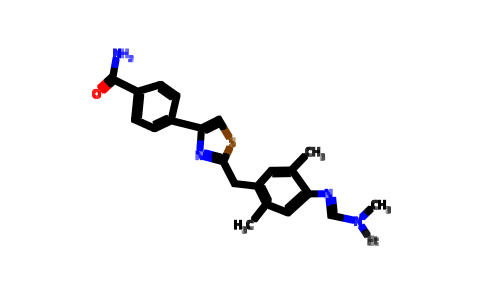 CCN(C)/C=N/c1cc(C)c(Cc2nc(-c3ccc(C(N)=O)cc3)cs2)cc1C